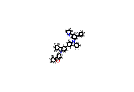 C1=CC2C3=CC(C4=CC5C6CCC=CC6N(C6C=c7c8c(oc7=CC6)CCC=C8)C5C=C4)CC=C3N(c3cc(-c4ccccc4)cc(-c4ccccn4)c3)C2C=C1